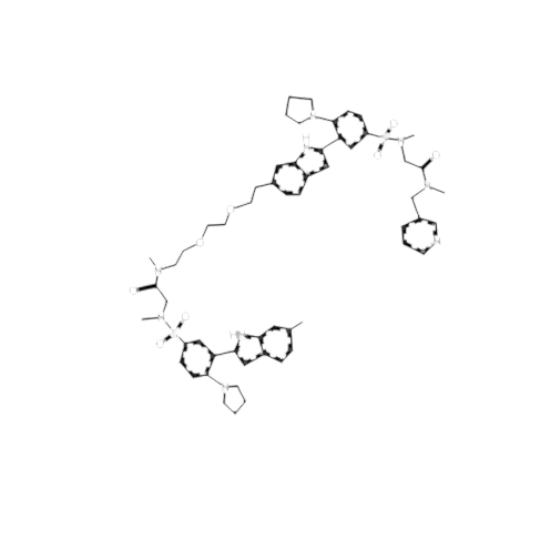 Cc1ccc2cc(-c3cc(S(=O)(=O)N(C)CC(=O)N(C)CCOCCOCCc4ccc5cc(-c6cc(S(=O)(=O)N(C)CC(=O)N(C)Cc7cccnc7)ccc6N6CCCC6)[nH]c5c4)ccc3N3CCCC3)[nH]c2c1